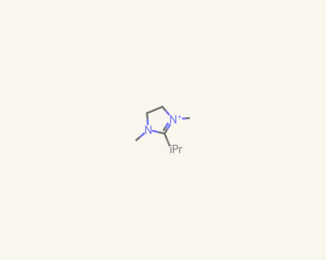 CC(C)C1=[N+](C)CCN1C